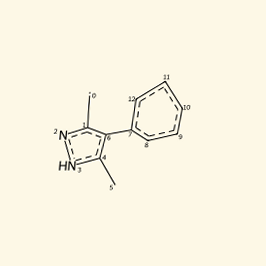 [CH2]c1n[nH]c(C)c1-c1ccccc1